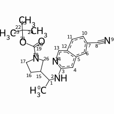 CC(Nc1cc2cc(C#N)ccc2cn1)C1CCN(C(=O)OC(C)(C)C)C1